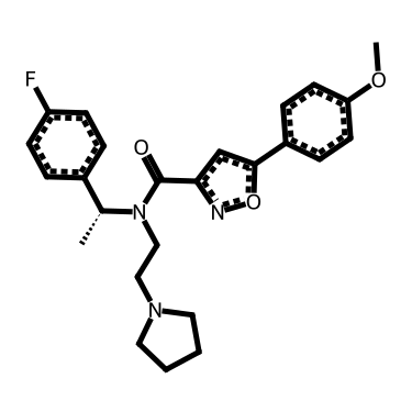 COc1ccc(-c2cc(C(=O)N(CCN3CCCC3)[C@H](C)c3ccc(F)cc3)no2)cc1